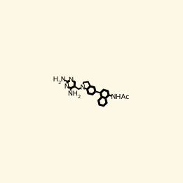 CC(=O)Nc1ccc(-c2ccc3c(c2)CCN3Cc2cnc(N)nc2N)c2ccccc12